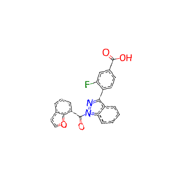 O=C(O)c1ccc(-c2nn(C(=O)c3cccc4ccoc34)c3ccccc23)c(F)c1